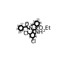 CCOC(=O)c1[nH]c2cc(Cl)cc(Cl)c2c1N(CC(=O)c1ccccc1)Cc1ccccc1